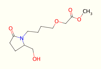 COC(=O)COCCCCN1C(=O)CCC1CO